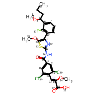 CCCC(OC)c1cccc(-c2nc(NC(=O)c3cc(Cl)c(/C=C(\OC)C(=O)O)c(Cl)c3)sc2OC)c1F